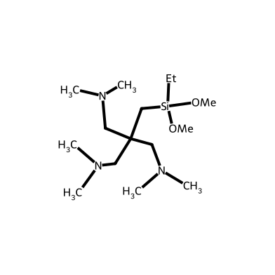 CC[Si](CC(CN(C)C)(CN(C)C)CN(C)C)(OC)OC